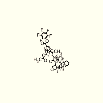 CC[C@H](C)[C@H](NC(=O)[C@@]1(C)CCCN1C)C(=O)N(C)[C@H](C[C@@H](OC(C)=O)c1nc(C(=O)Oc2c(F)c(F)c(F)c(F)c2F)cs1)C(C)C